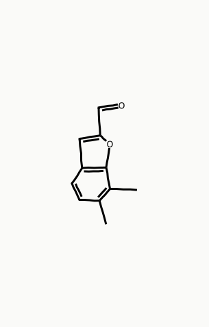 Cc1ccc2cc(C=O)oc2c1C